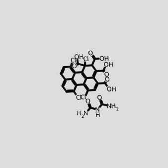 NC(=O)NC(N)=O.O=C(O)C1=c2c(C(=O)O)cc(Cl)c3c2c(c2c(Cl)ccc4ccc(Cl)c3c42)C(Cl)(C(=O)O)C1C(=O)O